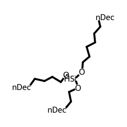 CCCCCCCCCCCCCCCCO[SiH](OCCCCCCCCCCCC)OCCCCCCCCCCCCCC